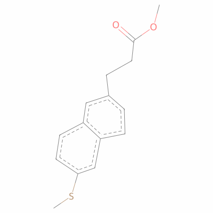 COC(=O)CCc1ccc2cc(SC)ccc2c1